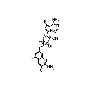 C[C@]1(CCc2cc(F)c3cc(Cl)c(N)nc3c2)C[C@@H](c2cc(F)c3c(N)ncnn23)[C@H](O)[C@@H]1O